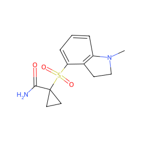 CN1CCc2c1cccc2S(=O)(=O)C1(C(N)=O)CC1